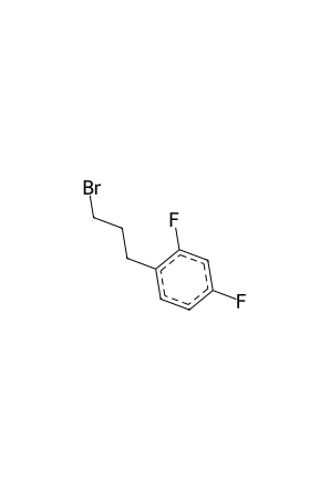 Fc1ccc(CCCBr)c(F)c1